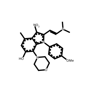 COc1ccc(-n2c(C=CN(C)C)c([N+](=O)[O-])c3c(C)cc(O)c(N4CCOCC4)c32)cc1